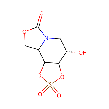 O=C1OCC2C3OS(=O)(=O)OC3[C@@H](O)CN12